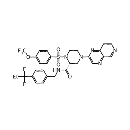 CCC(F)(F)c1ccc(CNC(=O)[C@H]2CN(c3cnc4cnccc4n3)CCN2S(=O)(=O)c2ccc(OC(F)(F)F)cc2)cc1